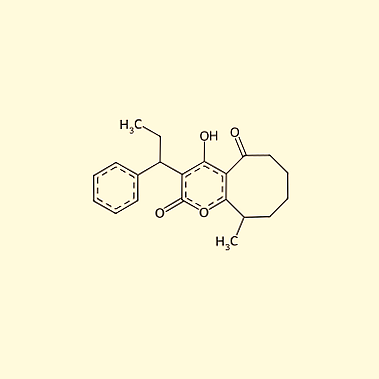 CCC(c1ccccc1)c1c(O)c2c(oc1=O)C(C)CCCCC2=O